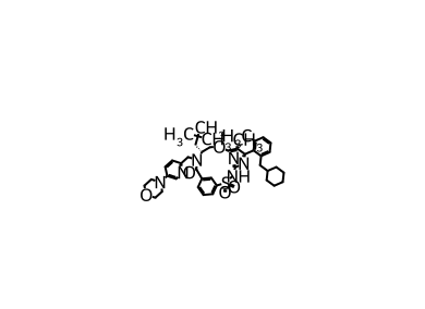 Cc1cccc(CC2CCCCC2)c1-c1nc2nc(c1C)OC[C@@H](CC(C)(C)C)N(Cc1ccc(N3CCOCC3)cn1)C(=O)c1cccc(c1)S(=O)(=O)N2